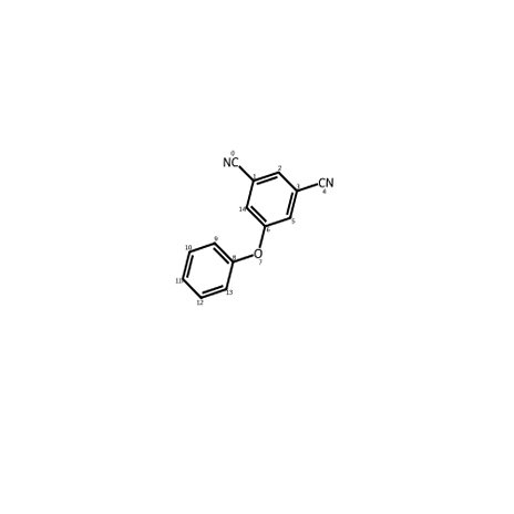 N#Cc1cc(C#N)cc(Oc2cc[c]cc2)c1